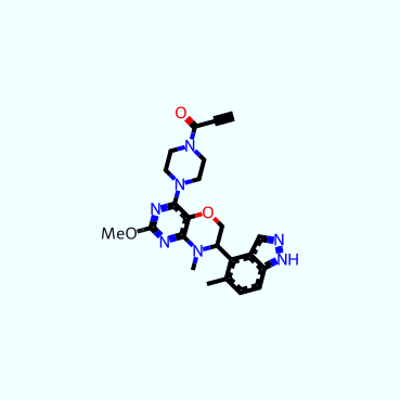 C#CC(=O)N1CCN(c2nc(OC)nc3c2OCC(c2c(C)ccc4[nH]ncc24)N3C)CC1